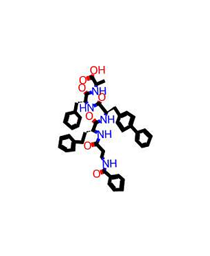 CC(NC(=O)[C@@H](CC1C=CC=CC1)NC(=O)[C@@H](Cc1ccc(-c2ccccc2)cc1)NC(=O)[C@@H](CCc1ccccc1)NC(=O)CCNC(=O)c1ccccc1)C(=O)O